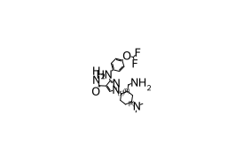 CN(C)[C@@H]1CC[C@H](n2cc(C(N)=O)c(Nc3ccc(OC(F)F)cc3)n2)[C@@H](CN)C1